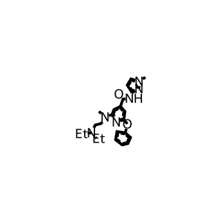 CCN(CC)CCN(C)c1cc(C(=O)Nc2ccn(C)n2)cc(Oc2ccccc2)n1